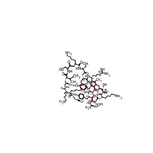 C#CCCC(=O)C[C@@H](CCCCN)C(=O)NCC(=O)C[C@H](C(=O)N[C@@H](CO)C(=O)C[C@@H](CCCCN)C(=O)N[C@@H](CO)C(=O)C[C@@H](Cc1ccc(O)cc1)C(=O)N[C@@H](CCCNC(=N)N)C(=O)C[C@@H](CCCCN)C(=O)N[C@@H](CCCNC(=N)N)C(=O)C[C@@H](Cc1ccc(O)cc1)C(=O)N[C@@H](CO)C(=O)C[C@@H](CCCCN)C(=O)N[C@@H](CO)C(=O)C[C@H](C(=O)NCC(=O)C[C@@H](CCCCN)C(=O)O)C(C)C)C(C)C